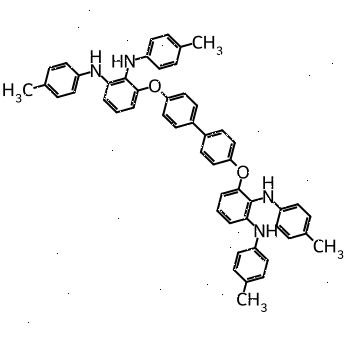 Cc1ccc(Nc2cccc(Oc3ccc(-c4ccc(Oc5cccc(Nc6ccc(C)cc6)c5Nc5ccc(C)cc5)cc4)cc3)c2Nc2ccc(C)cc2)cc1